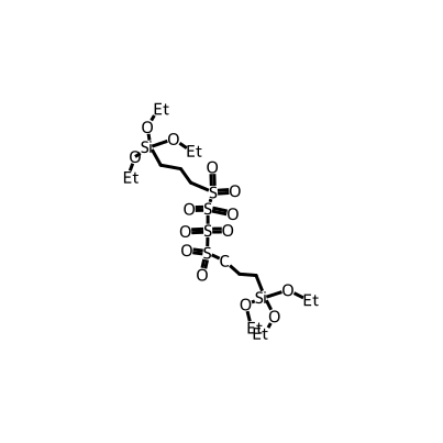 CCO[Si](CCCS(=O)(=O)S(=O)(=O)S(=O)(=O)S(=O)(=O)CCC[Si](OCC)(OCC)OCC)(OCC)OCC